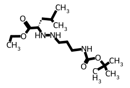 CCOC(=O)[C@H](CC(C)C)NNCCCNC(=O)OC(C)(C)C